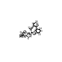 CS(=O)(=O)N[C@H]1CCN(C(=O)[C@@H]2C[C@H]2c2ccsc2-c2ccccc2)C1